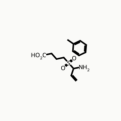 C=CC(N)S(=O)(=O)CCCC(=O)O.Cc1ccccc1